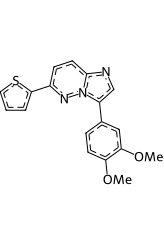 COc1ccc(-c2cnc3ccc(-c4cccs4)nn23)cc1OC